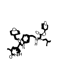 Cc1cc(-c2nc3cc(CN[C@@H](CCC(C)C)C(=O)OC4CCOCC4)ccc3n2CC2CCOCC2)c[nH]c1=O